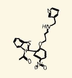 CC(=O)N1c2ccccc2SC1c1cc([N+](=O)[O-])ccc1OCCCNCc1cccnc1